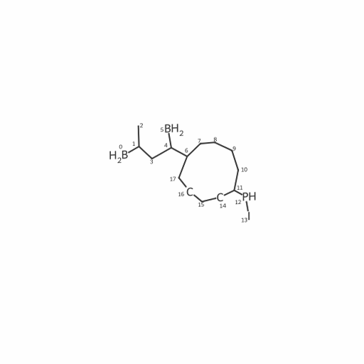 BC(C)CC(B)C1CCCCC(PI)CCCC1